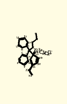 CCCCC(c1ccccc1)(c1ccccc1)[C]1([Ti+3])C=CC(CC)=C1.[Cl-].[Cl-].[Cl-]